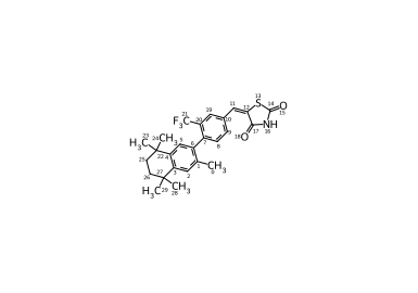 Cc1cc2c(cc1-c1ccc(C=C3SC(=O)NC3=O)cc1C(F)(F)F)C(C)(C)CCC2(C)C